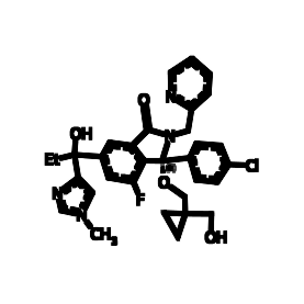 CCC(O)(c1cc(F)c2c(c1)C(=O)N(Cc1ccccn1)[C@@]2(OCC1(CO)CC1)c1ccc(Cl)cc1)c1cn(C)cn1